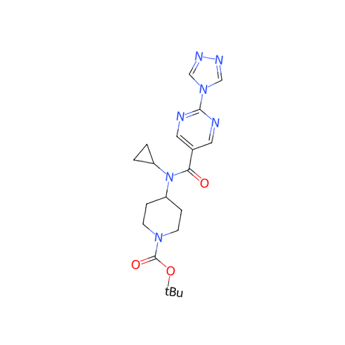 CC(C)(C)OC(=O)N1CCC(N(C(=O)c2cnc(-n3cnnc3)nc2)C2CC2)CC1